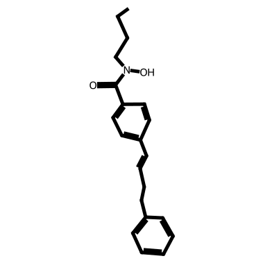 CCCCN(O)C(=O)c1ccc(C=CCCc2ccccc2)cc1